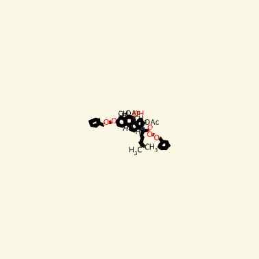 CC(=O)O[C@@H]1[C@H]2[C@H](C)[C@H](OCOCc3ccccc3)CC[C@]2(C)[C@@H]2CC[C@H]3/C(=C(\CCC=C(C)C)C(=O)OCOCc4ccccc4)[C@@H](OC(C)=O)C[C@]3(C)[C@@]2(C)[C@H]1O